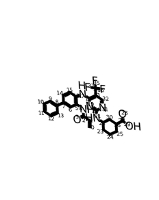 C=CC(=O)Nc1cc(-c2ccccc2)ccc1Nc1nc(NC2CCCC(C(=O)O)C2)ncc1C(F)(F)F